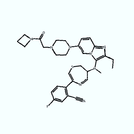 CCc1nc2ccc(N3CCN(CC(=O)N4CCC4)CC3)cn2c1N(C)C1C=NC(c2ccc(F)cc2C#N)=CSC1